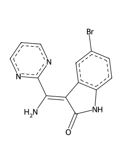 N/C(=C1\C(=O)Nc2ccc(Br)cc21)c1ncccn1